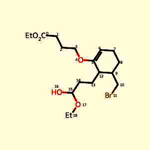 CCOC(=O)CCCOC1=CCCC(CBr)C1CCC(O)OCC